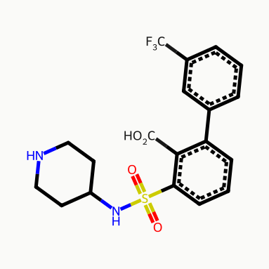 O=C(O)c1c(-c2cccc(C(F)(F)F)c2)cccc1S(=O)(=O)NC1CCNCC1